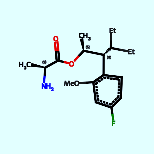 CCC(CC)[C@H](c1ccc(F)cc1OC)[C@H](C)OC(=O)[C@H](C)N